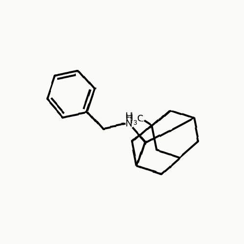 CC12CC3CC(C1)C(NCc1ccccc1)C(C3)C2